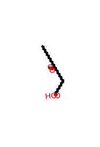 CCCCCCCCCCCCCCC(CCCCCCCC/C=C\CCCCCCCC(=O)O)C(=O)OC